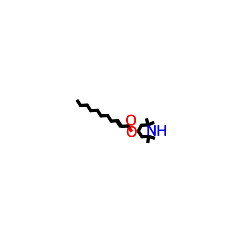 CCCCCCCCC=CC(=O)OC1CC(C)(C)NC(C)(C)C1